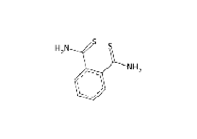 NC(=S)c1ccccc1C(N)=S